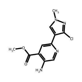 COC(=O)c1cc(-c2cn(C)nc2Cl)ncc1N